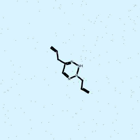 C=CCC1=NNN(CC=C)N=C1